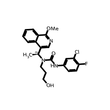 COc1ncc([C@H](C)N(CCCO)C(=O)Nc2ccc(F)c(Cl)c2)c2ccccc12